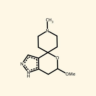 COC1Cc2[nH]ncc2C2(CCN(C)CC2)O1